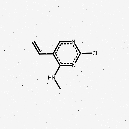 C=Cc1[c]nc(Cl)nc1NC